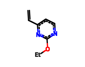 C=Cc1ccnc(OCC)n1